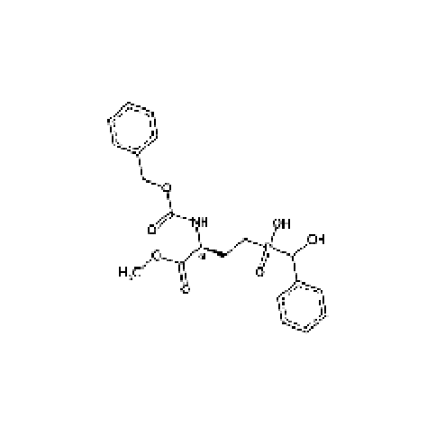 COC(=O)[C@H](CCP(=O)(O)C(O)c1ccccc1)NC(=O)OCc1ccccc1